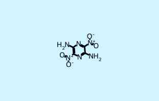 Nc1nc([N+](=O)[O-])c(N)nc1[N+](=O)[O-]